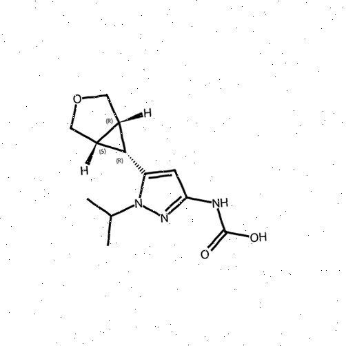 CC(C)n1nc(NC(=O)O)cc1[C@@H]1[C@@H]2COC[C@@H]21